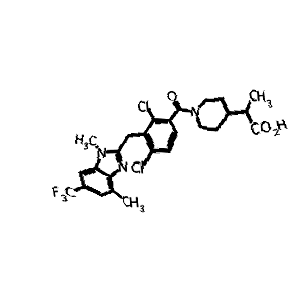 Cc1cc(C(F)(F)F)cc2c1nc(Cc1c(Cl)ccc(C(=O)N3CCC(C(C)C(=O)O)CC3)c1Cl)n2C